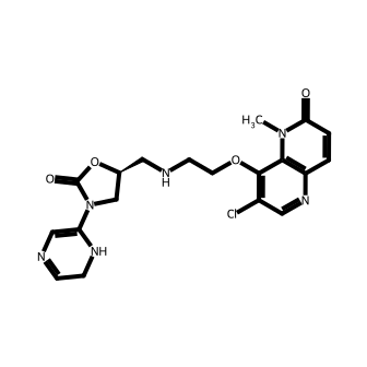 Cn1c(=O)ccc2ncc(Cl)c(OCCNC[C@H]3CN(C4=CN=CCN4)C(=O)O3)c21